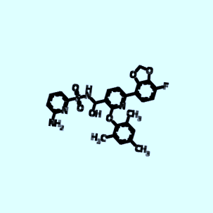 Cc1cc(C)c(Oc2nc(-c3ccc(F)c4c3OCO4)ccc2C(O)NS(=O)(=O)c2cccc(N)n2)c(C)c1